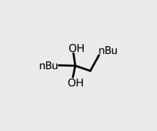 CCCCCC(O)(O)CCCC